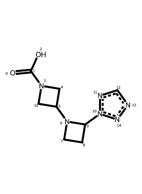 O=C(O)N1CC(N2CCC2n2ncnn2)C1